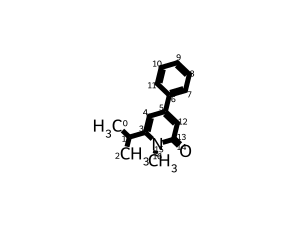 CC(C)c1cc(-c2ccccc2)cc(=O)n1C